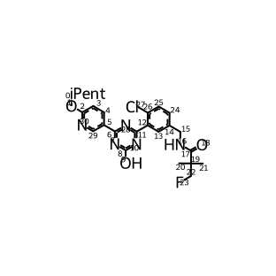 CCC[C@H](C)Oc1ccc(-c2nc(O)nc(-c3cc(CNC(=O)C(C)(C)CF)ccc3Cl)n2)cn1